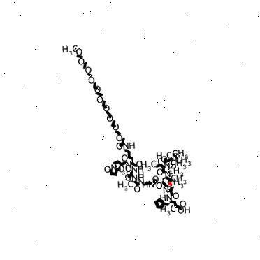 CC[C@H](C)[C@H](NC(=O)C(C)(C)N(C)C)C(=O)N(C)[C@H](C[C@@H](OC(=O)NCCNC(=O)[C@H](C)NC(=O)[C@H](C)NC(=O)[C@H](CCCCNC(=O)COCCOCCOCCOCCOCCOCCOCCOCCOCCOC)NC(=O)CCCN1C(=O)C=CC1=O)c1nc(C(=O)N[C@@H](Cc2ccccc2)C[C@H](C)C(=O)O)cs1)C(C)C